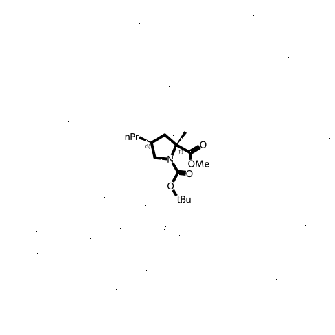 CCC[C@@H]1CN(C(=O)OC(C)(C)C)[C@@](C)(C(=O)OC)C1